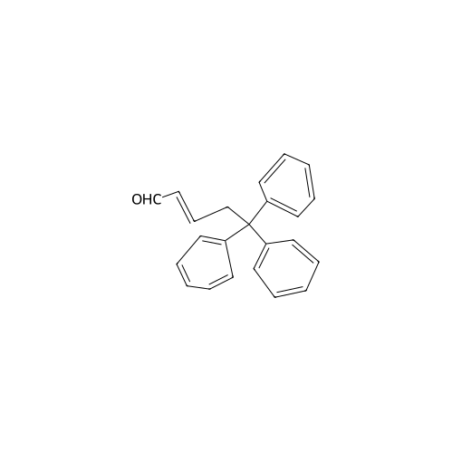 O=CC=CCC(c1ccccc1)(c1ccccc1)c1ccccc1